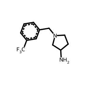 NC1CCN(Cc2cccc(C(F)(F)F)c2)C1